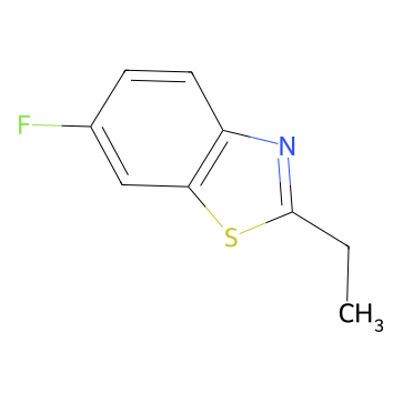 CCc1nc2ccc(F)cc2s1